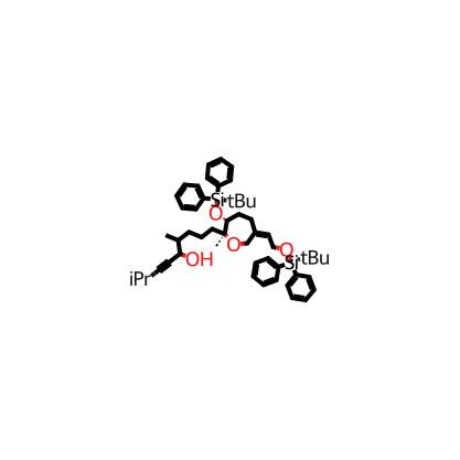 CC(C)C#CC(O)C(C)CCC[C@]1(C)OCC(=CCO[Si](c2ccccc2)(c2ccccc2)C(C)(C)C)CC[C@H]1O[Si](c1ccccc1)(c1ccccc1)C(C)(C)C